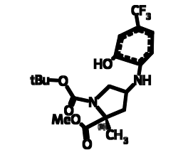 COC(=O)[C@@]1(C)CC(Nc2ccc(C(F)(F)F)cc2O)CN1C(=O)OC(C)(C)C